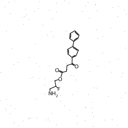 NCC(F)COC(=O)CCC(=O)c1ccc(-c2ccccc2)cc1